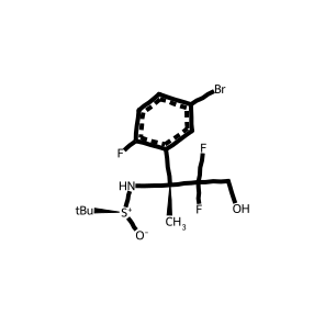 CC(C)(C)[S@+]([O-])N[C@](C)(c1cc(Br)ccc1F)C(F)(F)CO